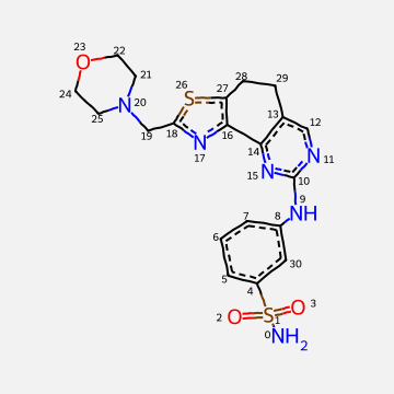 NS(=O)(=O)c1cccc(Nc2ncc3c(n2)-c2nc(CN4CCOCC4)sc2CC3)c1